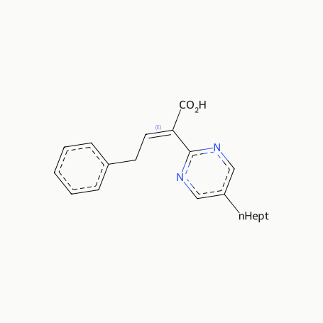 CCCCCCCc1cnc(/C(=C\Cc2ccccc2)C(=O)O)nc1